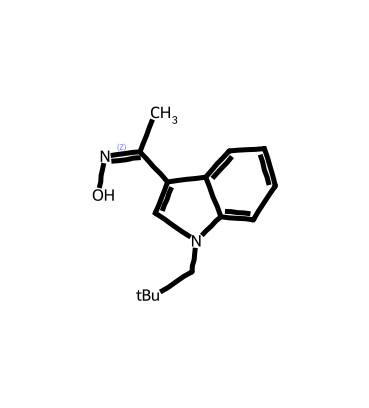 C/C(=N/O)c1cn(CC(C)(C)C)c2ccccc12